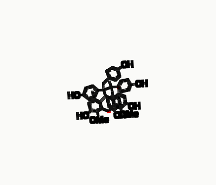 COc1c(O)cc(C)c(C(c2c(C)cc(O)c(OC)c2C)C(Cc2ccc(O)cc2)(c2ccc(O)cc2)C(C)(c2ccc(O)cc2)c2ccc(O)cc2)c1C